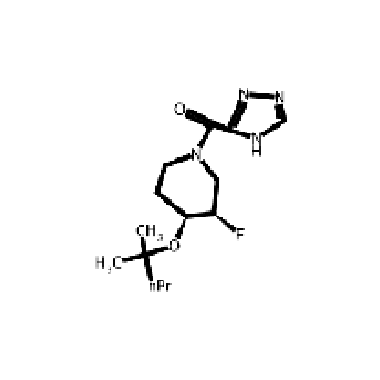 CCCC(C)(C)O[C@H]1CCN(C(=O)c2nnc[nH]2)C[C@H]1F